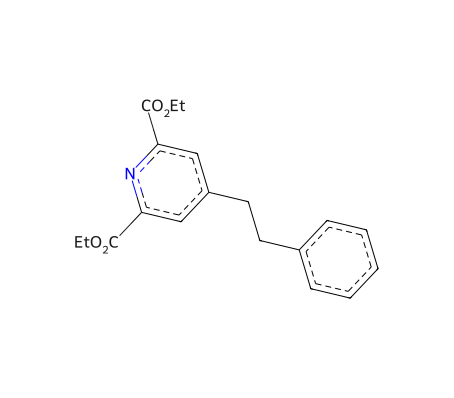 CCOC(=O)c1cc(CCc2ccccc2)cc(C(=O)OCC)n1